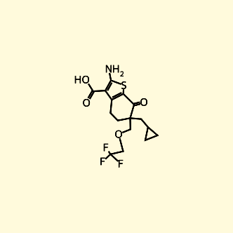 Nc1sc2c(c1C(=O)O)CCC(COCC(F)(F)F)(CC1CC1)C2=O